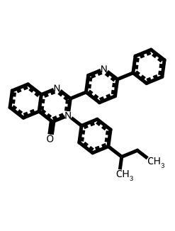 CCC(C)c1ccc(-n2c(-c3ccc(-c4ccccc4)nc3)nc3ccccc3c2=O)cc1